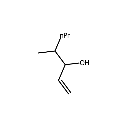 C=CC(O)C(C)CCC